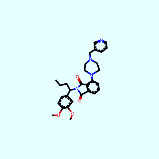 [CH2]CCC(c1ccc(OC)c(OC)c1)N1C(=O)c2cccc(N3CCN(Cc4cccnc4)CC3)c2C1=O